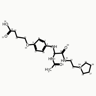 CC(=O)NC(Nc1ccc(OCCCC(=O)O)cc1)C(=O)NCCN1CCCC1